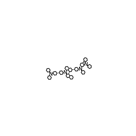 c1ccc(N(c2ccccc2)c2ccc(-c3ccc(N4c5ccc6ccccc6c5-c5cc(-c6ccc(N(c7ccccc7)c7ccc8c9ccccc9n(-c9ccccc9)c8c7)cc6)cc6cccc4c56)cc3)cc2)cc1